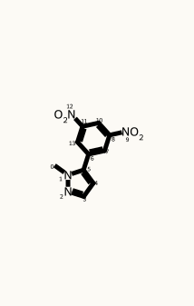 Cn1nccc1-c1cc([N+](=O)[O-])cc([N+](=O)[O-])c1